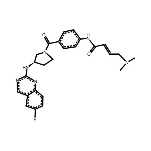 CN(C)C/C=C/C(=O)Nc1ccc(C(=O)N2CC[C@@H](Nc3ncc4cc(F)ccc4n3)C2)cc1